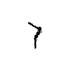 CCCCCCCCCCCCc1ccccc1OC(=O)c1ccc(-c2ccc(C(C)OCCCCCCCCC)cc2)cc1